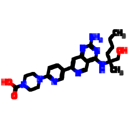 CCCC[C@](C)(CO)Nc1nc(N)nc2cc(-c3ccc(N4CCN(C(=O)O)CC4)nc3)ncc12